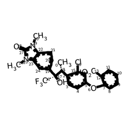 C[C@H](c1ccc(Oc2ccccc2C(=O)O)cc1Cl)[C@@](O)(c1ccc2c(c1)n(C)c(=O)n2C)C(F)(F)F